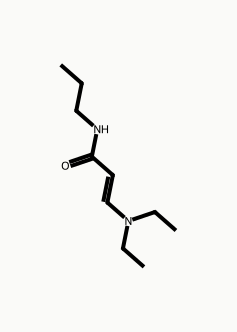 CCCNC(=O)C=CN(CC)CC